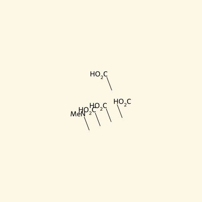 CC(=O)O.CC(=O)O.CC(=O)O.CC(=O)O.CNC